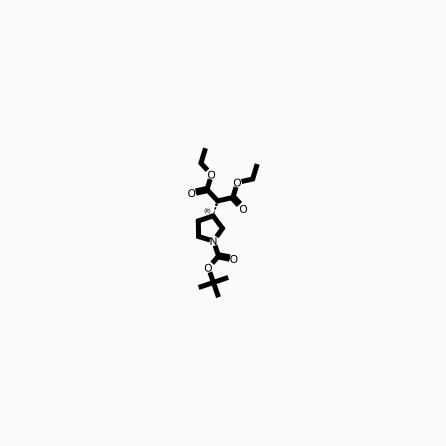 CCOC(=O)C(C(=O)OCC)[C@H]1CCN(C(=O)OC(C)(C)C)C1